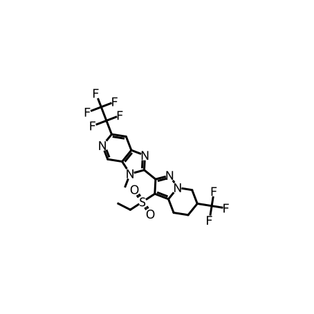 CCS(=O)(=O)c1c(-c2nc3cc(C(F)(F)C(F)(F)F)ncc3n2C)nn2c1CCC(C(F)(F)F)C2